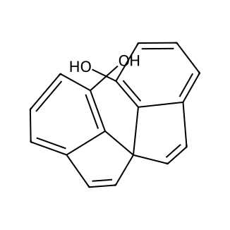 Oc1cccc2c1C1(C=C2)C=Cc2cccc(O)c21